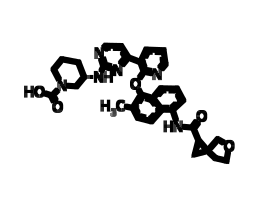 Cc1ccc2c(NC(=O)C3CC34CCOC4)cccc2c1Oc1ncccc1-c1ccnc(N[C@H]2CCCN(C(=O)O)C2)n1